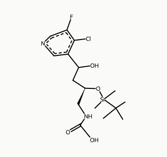 CC(C)(C)[Si](C)(C)O[C@@H](CNC(=O)O)CC(O)c1cncc(F)c1Cl